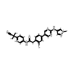 Cn1cc(Nc2ncc(-c3ccc(CC(=O)Nc4ccc(C(C)(C)C#N)nc4)c(F)c3)cn2)cn1